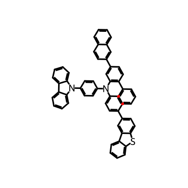 c1ccc(-c2ccc(-c3ccc4ccccc4c3)cc2N(c2ccc(-c3ccc4sc5ccccc5c4c3)cc2)c2ccc(-n3c4ccccc4c4ccccc43)cc2)cc1